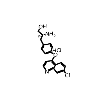 Cl.N[C@H](CO)Cc1ccc(Oc2ccnc3cc(Cl)ccc23)cc1